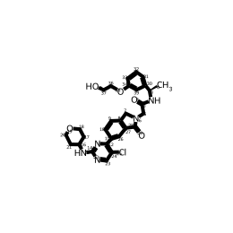 C[C@@H](NC(=O)CN1Cc2ccc(-c3nc(NC4CCOCC4)ncc3Cl)cc2C1=O)c1cccc(OCCO)c1